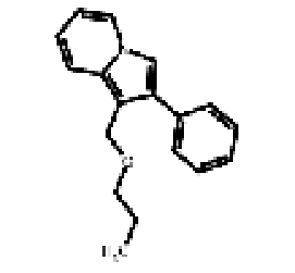 CCCOCc1c(-c2ccccc2)cn2ccccc12